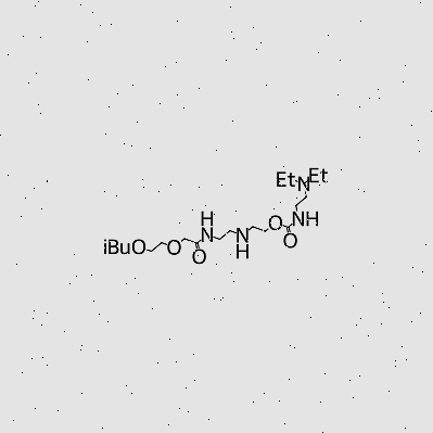 CCN(CC)CCNC(=O)OCCNCCNC(=O)COCCOCC(C)C